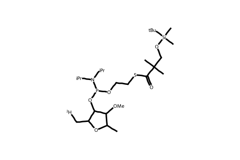 [2H]CC1OC(C)C(OC)C1OP(OCCSC(=O)C(C)(C)CO[Si](C)(C)C(C)(C)C)N(C(C)C)C(C)C